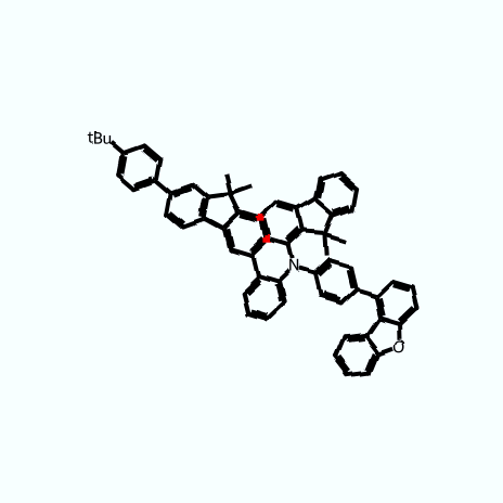 CC(C)(C)c1ccc(-c2ccc3c(c2)C(C)(C)c2ccc(-c4ccccc4N(c4ccc(-c5cccc6oc7ccccc7c56)cc4)c4cccc5c4C(C)(C)c4ccccc4-5)cc2-3)cc1